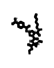 C=CCCCCN(C)C(=O)[C@@H]1C[C@@H](OC(=O)c2ccc([N+](=O)[O-])cc2)CN1C(=O)N[C@]1(C(=O)OCC)C[C@H]1C=C